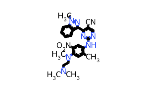 Cc1cc(N(C)CCN(C)C)c([N+](=O)[O-])cc1Nc1ncc(C#N)c(-c2nn(C)c3ccccc23)n1